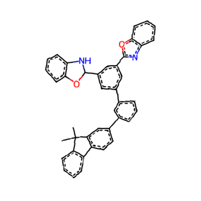 CC1(C)c2ccccc2-c2ccc(-c3cccc(-c4cc(-c5nc6ccccc6o5)cc(C5Nc6ccccc6O5)c4)c3)cc21